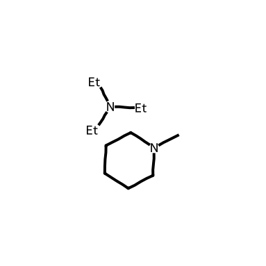 CCN(CC)CC.CN1CCCCC1